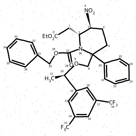 CCOC(=O)C[C@@H]1[C@@H]([N+](=O)[O-])CCC(CO[C@H](C)c2cc(C(F)(F)F)cc(C(F)(F)F)c2)(c2ccccc2)N1C(=O)OCc1ccccc1